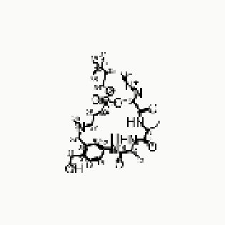 C[C@H](NC(=O)CN=[N+]=[N-])C(=O)N[C@@H](C)C(=O)Nc1ccc(CO)c(CN(C)CCOP(=O)([O-])OCC[N+](C)(C)C)c1